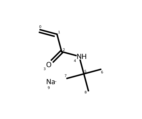 C=CC(=O)NC(C)(C)C.[Na]